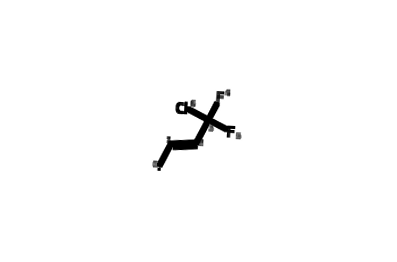 [CH2]C=CC(F)(F)Cl